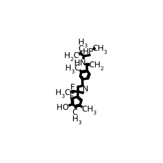 C=C(NC(CPC)C(=C)C)c1ccc(C2=NCC(c3cc(C)c(C)c(O)c3)(C(C)(F)F)C2)cc1C